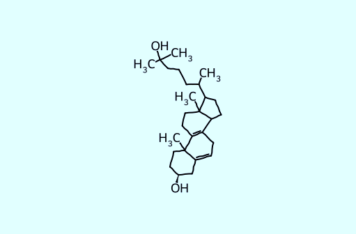 CC(CCCC(C)(C)O)C1CCC2C3=C(CCC21C)C1(C)CC[C@H](O)CC1=CC3